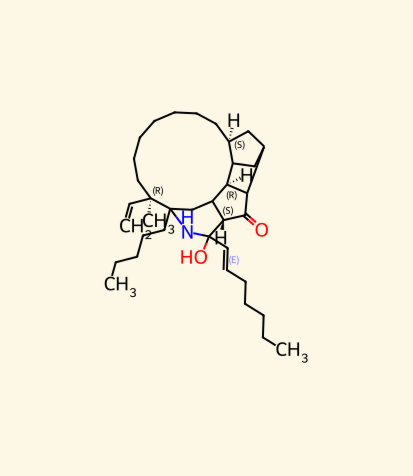 C=C[C@@]1(C)CCCCCCC[C@H]2CC3CC2[C@H]2C3C(=O)[C@H]3C2CC1(CCCCC)NC3(O)/C=C/CCCCC